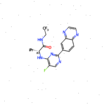 CC(C)[C@@H](Nc1nc(-c2ccc3nccnc3c2)ncc1F)C(=O)NCC(F)(F)F